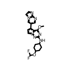 COc1nc(NC2CCC(OC(F)F)CC2)nn2ccc(-c3cnc4nccn4c3)c12